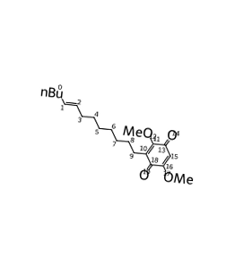 CCCCC=CCCCCCCCC1=C(OC)C(=O)C=C(OC)C1=O